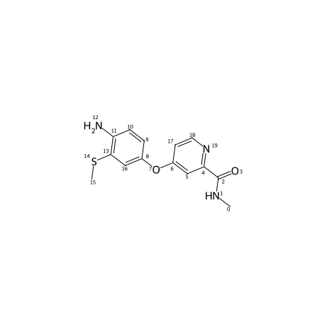 CNC(=O)c1cc(Oc2ccc(N)c(SC)c2)ccn1